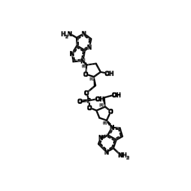 Nc1ncnc2c1ccn2[C@H]1CC(OP(=O)(O)OC[C@H]2O[C@@H](n3cnc4c(N)ncnc43)CC2O)[C@@H](CO)O1